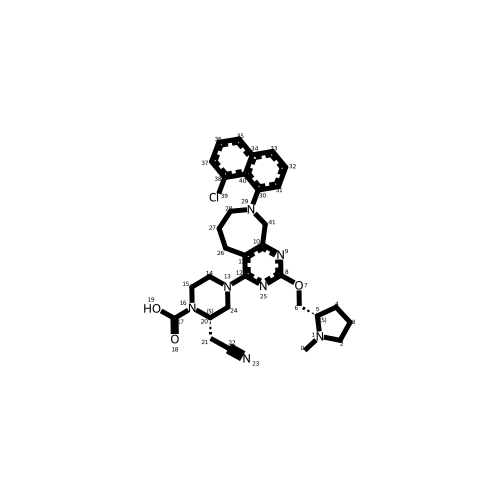 CN1CCC[C@H]1COc1nc2c(c(N3CCN(C(=O)O)[C@@H](CC#N)C3)n1)CCCN(c1cccc3cccc(Cl)c13)C2